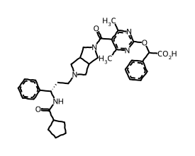 Cc1nc(OC(C(=O)O)c2ccccc2)nc(C)c1C(=O)N1CC2CN(CC[C@H](NC(=O)C3CCCC3)c3ccccc3)CC2C1